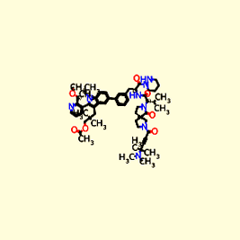 CCn1c(-c2cccnc2[C@H](C)OC)c(CC(C)(C)COC(C)=O)c2cc(-c3cccc(C[C@H](NC(=O)[C@H](C(C)C)N4CC[C@@]5(CCN(C(=O)C#CC(C)(C)N(C)C)C5)C4=O)C(=O)N4CCCCN4)c3)ccc21